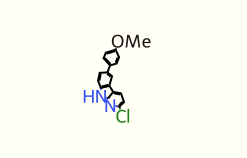 COc1ccc(-c2ccc3[nH]c4nc(Cl)ccc4c3c2)cc1